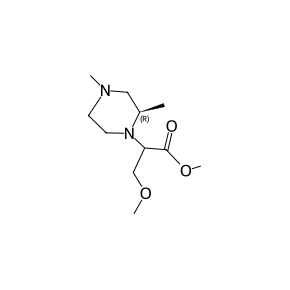 COCC(C(=O)OC)N1CCN(C)C[C@H]1C